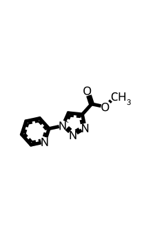 COC(=O)c1cn(-c2ccccn2)nn1